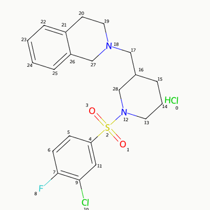 Cl.O=S(=O)(c1ccc(F)c(Cl)c1)N1CCCC(CN2CCc3ccccc3C2)C1